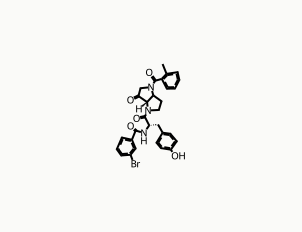 Cc1ccccc1C(=O)N1CC(=O)[C@@H]2C1CCN2C(=O)[C@H](Cc1ccc(O)cc1)NC(=O)c1cccc(Br)c1